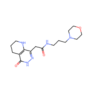 O=C(Cc1n[nH]c(=O)c2c1NCCC2)NCCCN1CCOCC1